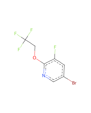 Fc1cc(Br)cnc1OCC(F)(F)F